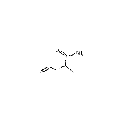 C=CCC(C)C(N)=O